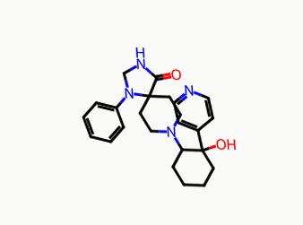 O=C1NCN(c2ccccc2)C12CCN(C1CCCCC1(O)c1ccncc1)CC2